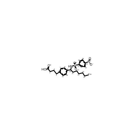 O=C(O)CCCc1ccc(C(CCCCCF)NS(=O)(=O)c2ccc([N+](=O)[O-])cc2)cc1